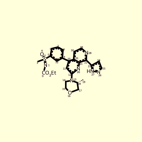 CCOC(=O)N=S(C)(=O)c1cccc(-c2cc(N3CCOC[C@H]3C)nc3c(-c4ccn[nH]4)nccc23)c1